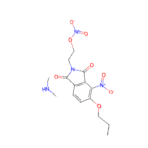 CCCOc1ccc2c(c1[N+](=O)[O-])C(=O)N(CCO[N+](=O)[O-])C2=O.CNC